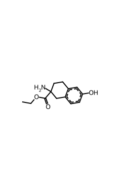 CCOC(=O)C1(N)CCc2cc(O)ccc2C1